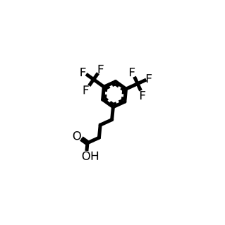 O=C(O)CCCc1cc(C(F)(F)F)cc(C(F)(F)F)c1